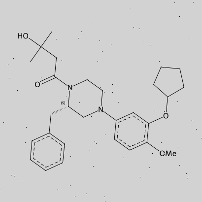 COc1ccc(N2CCN(C(=O)CC(C)(C)O)[C@@H](Cc3ccccc3)C2)cc1OC1CCCC1